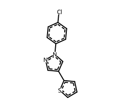 Clc1ccc(-n2cc(-c3cccs3)cn2)cc1